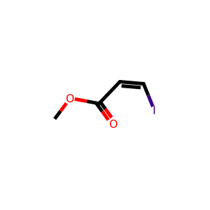 COC(=O)/C=C\I